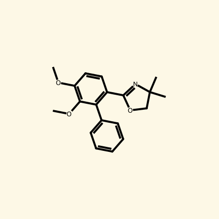 COc1ccc(C2=NC(C)(C)CO2)c(-c2ccccc2)c1OC